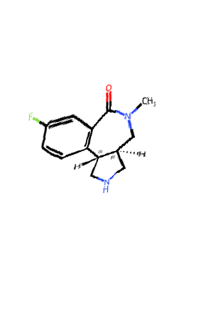 CN1C[C@H]2CNC[C@@H]2c2ccc(F)cc2C1=O